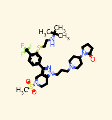 CC(C)(C)NCCSc1cc(-c2nn(CCCN3CCC(N4CCCC4=O)CC3)c3c2CN(S(C)(=O)=O)CC3)ccc1C(F)(F)F